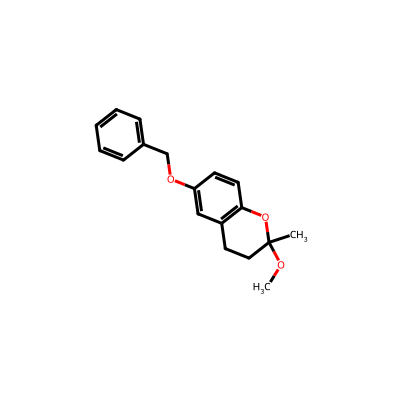 COC1(C)CCc2cc(OCc3ccccc3)ccc2O1